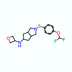 FC(F)Oc1ccc(SN2CC3CC(NC4COC4)CC3C2)cc1